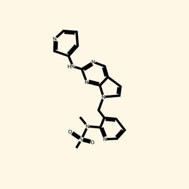 CN(c1ncccc1Cn1ccc2cnc(Nc3cccnc3)nc21)S(C)(=O)=O